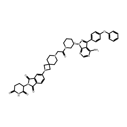 Nc1ncnc2c1c(-c1ccc(Oc3ccccc3)cc1)nn2[C@@H]1CCCN(C(=O)CN2CCC3(CC2)CN(c2ccc4c(c2)C(=O)N(C2CCC(=O)NC2=O)C4=O)C3)C1